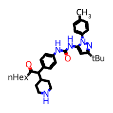 CCCCCCC(=O)C(c1ccc(NC(=O)Nc2cc(C(C)(C)C)nn2-c2ccc(C)cc2)cc1)C1CCNCC1